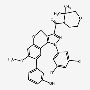 COc1cc2c(cc1-c1cccc(O)c1)-c1c(c(C(=O)N3CCOCC3(C)C)nn1-c1cc(Cl)cc(Cl)c1)CO2